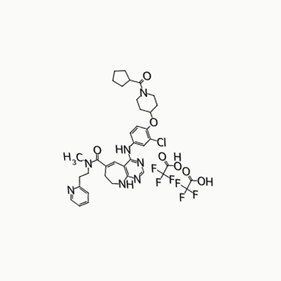 CN(CCc1ccccn1)C(=O)C1=Cc2c(ncnc2Nc2ccc(OC3CCN(C(=O)C4CCCC4)CC3)c(Cl)c2)NCC1.O=C(O)C(F)(F)F.O=C(O)C(F)(F)F